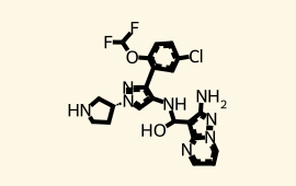 Nc1nn2cccnc2c1C(O)Nc1cn([C@@H]2CCNC2)nc1-c1cc(Cl)ccc1OC(F)F